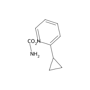 NC(=O)O.c1ccc(C2CC2)cc1